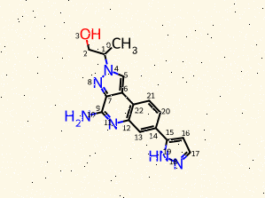 CC(CO)n1cc2c(n1)c(N)nc1cc(-c3ccn[nH]3)ccc12